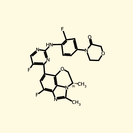 Cc1nc2c(F)cc(-c3nc(Nc4ccc(N5CCOCC5=O)cc4F)ncc3F)c3c2n1[C@@H](C)CO3